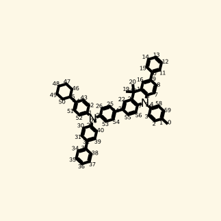 Cc1ccc(N2c3ccc(-c4ccccc4)cc3C(C)(C)c3cc(-c4ccc(N(c5ccc(-c6ccccc6)cc5)c5ccc(C6CCCCC6)cc5)cc4)ccc32)cc1